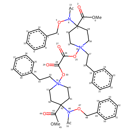 COC(=O)C1(N(OCc2ccccc2)C(C)=O)CC[N+](CCc2ccccc2)(OC(=O)C(=O)O[N+]2(CCc3ccccc3)CCC(C(=O)OC)(N(OCc3ccccc3)C(C)=O)CC2)CC1